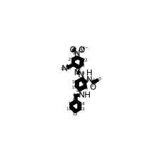 CC(=O)Nc1cc(NCc2ccccc2)ccc1N=Nc1ccc([N+](=O)[O-])cc1C#N